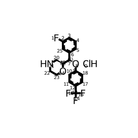 Cl.Fc1cccc([C@H](Oc2ccc(C(F)(F)F)cc2)[C@@H]2CNCCO2)c1